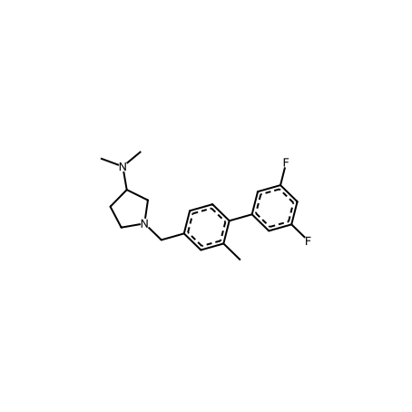 Cc1cc(CN2CCC(N(C)C)C2)ccc1-c1cc(F)cc(F)c1